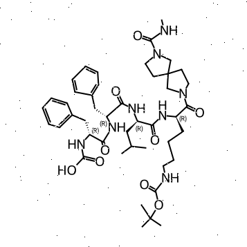 CNC(=O)N1CCC2(CCN(C(=O)[C@@H](CCCCNC(=O)OC(C)(C)C)NC(=O)[C@@H](CC(C)C)NC(=O)[C@@H](Cc3ccccc3)NC(=O)[C@@H](Cc3ccccc3)NC(=O)O)C2)C1